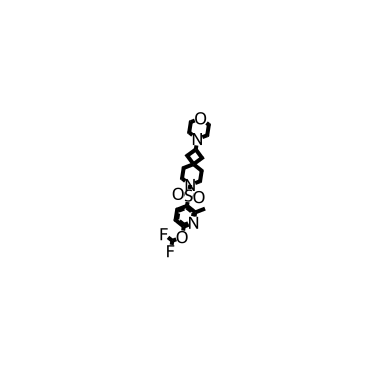 Cc1nc(OC(F)F)ccc1S(=O)(=O)N1CCC2(CC1)CC(N1CCOCC1)C2